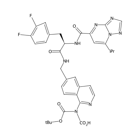 CC(C)c1cc(C(=O)N[C@H](Cc2ccc(F)c(F)c2)C(=O)NCc2ccc3c(N(C(=O)O)C(=O)OC(C)(C)C)nccc3c2)nc2ncnn12